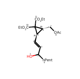 CCCCCC(O)C=C[C@@H]1[C@@H](COC(C)=O)C1(C(=O)OCC)C(=O)OCC